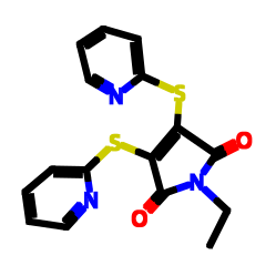 CCN1C(=O)C(Sc2ccccn2)=C(Sc2ccccn2)C1=O